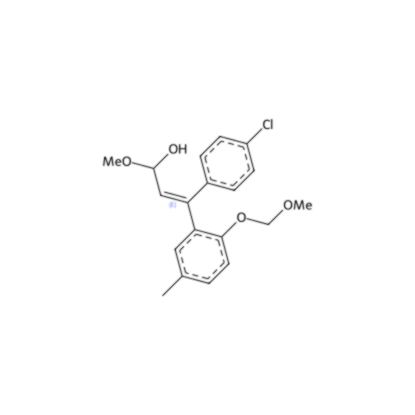 COCOc1ccc(C)cc1/C(=C/C(O)OC)c1ccc(Cl)cc1